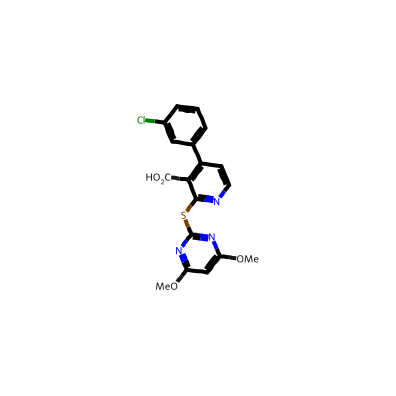 COc1cc(OC)nc(Sc2nccc(-c3cccc(Cl)c3)c2C(=O)O)n1